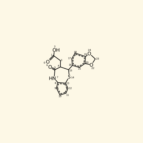 O=C(O)CC1C(=O)Nc2ccccc2SC1c1ccc2c(c1)OCO2